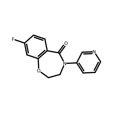 O=C1c2ccc(F)cc2OCCN1c1cccnc1